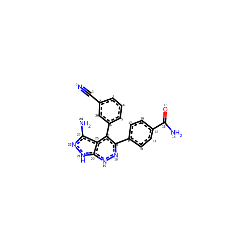 N#Cc1cccc(-c2c(-c3ccc(C(N)=O)cc3)nnc3[nH]nc(N)c23)c1